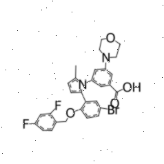 Cc1ccc(-c2cc(Br)ccc2OCc2ccc(F)cc2F)n1-c1cc(C(=O)O)cc(N2CCOCC2)c1